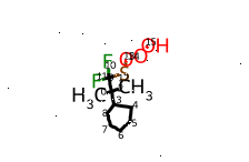 CC(C)(C1CCCCC1)C(F)(F)SOOO